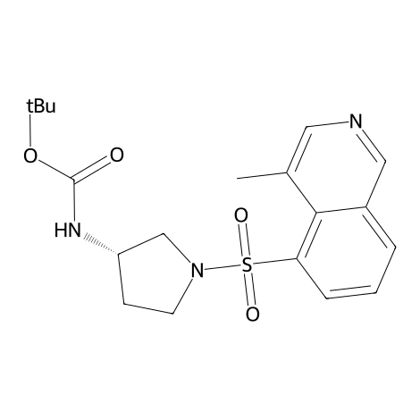 Cc1cncc2cccc(S(=O)(=O)N3CC[C@H](NC(=O)OC(C)(C)C)C3)c12